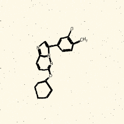 Cc1ccc(-c2cnc3ccc(OC4CCCCC4)nn23)cc1Cl